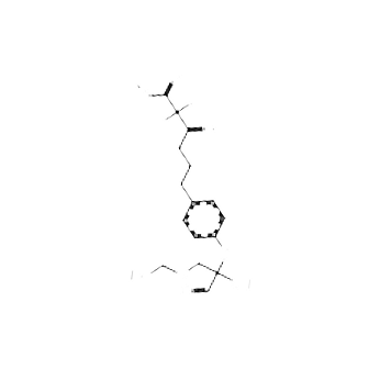 CCOCC(C)(C=O)Oc1ccc(CCCC(=O)C(C)(C)C(=O)OC)cc1